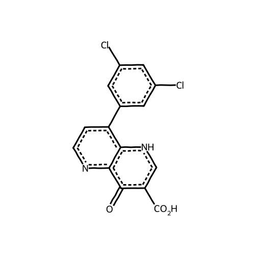 O=C(O)c1c[nH]c2c(-c3cc(Cl)cc(Cl)c3)ccnc2c1=O